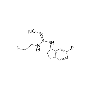 N#CN=C(NCCF)NC1CCc2ccc(F)cc21